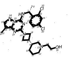 C[C@@H](Nc1nc(N2CC([C@H]3CCCN(CCO)C3)C2)nc2c(Cl)cnn12)c1ccc(Cl)cc1Cl